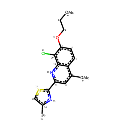 COCCOc1ccc2c(OC)cc(-c3nc(C(C)C)cs3)nc2c1Cl